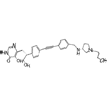 O=c1[nH]cnc(C[C@@H](CO)c2ccc(C#Cc3ccc(CN[C@@H]4CCN(CCO)C4)cc3)cc2)c1O